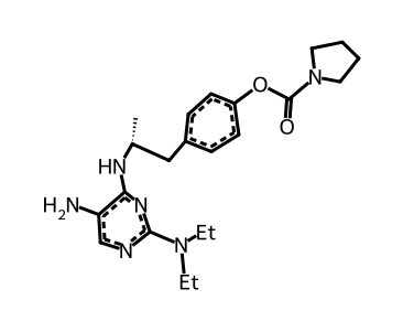 CCN(CC)c1ncc(N)c(N[C@H](C)Cc2ccc(OC(=O)N3CCCC3)cc2)n1